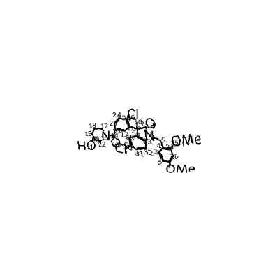 COc1ccc(CN2C(=O)C(C)(c3cc(C(=O)N4CCC[C@@H](O)C4)ccc3Cl)c3cc(Cl)ccc32)c(OC)c1